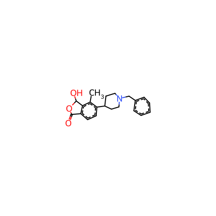 Cc1c(C2CCN(Cc3ccccc3)CC2)ccc2c1C(O)OC2=O